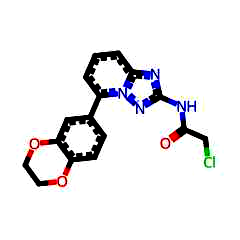 O=C(CCl)Nc1nc2cccc(-c3ccc4c(c3)OCCO4)n2n1